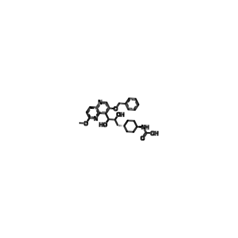 COc1ccc2ncc(OCc3ccccc3)c(C(O)C(O)C[C@H]3CC[C@H](NC(=O)O)CC3)c2n1